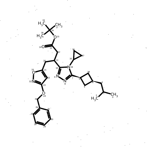 CC(C)C[C@H]1C[C@@H](c2nnc(C(CC(=O)OC(C)(C)C)Cc3cc(OCc4ccccc4)no3)n2C2CC2)C1